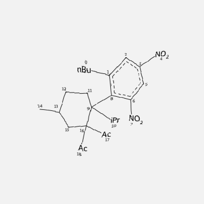 CCCCc1cc([N+](=O)[O-])cc([N+](=O)[O-])c1C1(C(C)C)CCC(C)CC1(C(C)=O)C(C)=O